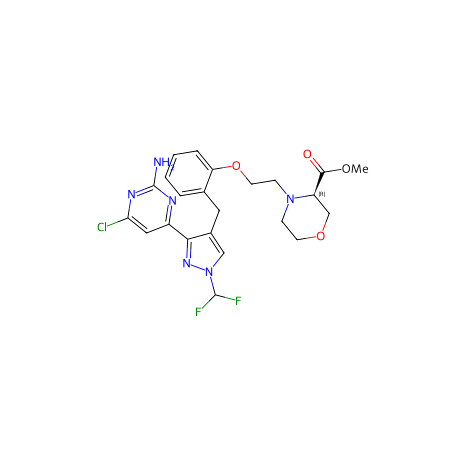 COC(=O)[C@H]1COCCN1CCOc1ccccc1Cc1cn(C(F)F)nc1-c1cc(Cl)nc(N)n1